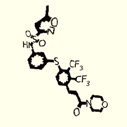 Cc1cc(S(=O)(=O)Nc2cccc(Sc3ccc(/C=C/C(=O)N4CCOCC4)c(C(F)(F)F)c3C(F)(F)F)c2)no1